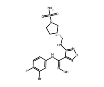 NS(=O)(=O)N1CC[C@@H](CNc2nonc2C(=NO)Nc2ccc(F)c(Br)c2)C1